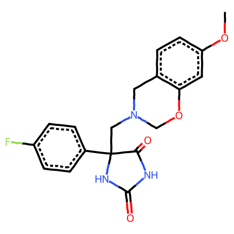 COc1ccc2c(c1)OCN(CC1(c3ccc(F)cc3)NC(=O)NC1=O)C2